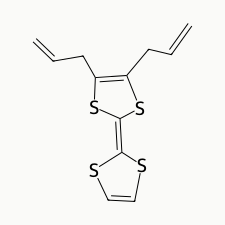 C=CCC1=C(CC=C)SC(=C2SC=CS2)S1